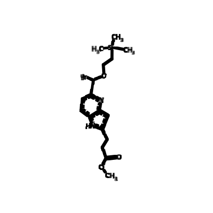 COC(=O)CCc1cc2nc(C(Br)OCC[Si](C)(C)C)ccc2[nH]1